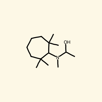 CC(O)N(C)C1C(C)(C)CCCCC1(C)C